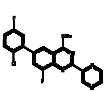 CNc1nc(-c2cnccn2)nc2c(F)cc(-c3cc(F)ccc3Cl)cc12